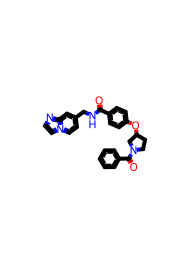 O=C(NCc1ccn2ccnc2c1)c1ccc(OC2CCN(C(=O)c3ccccc3)C2)cc1